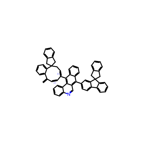 C=C1/C=C\C(c2c3ccccc3c(-c3ccc4c(c3)C3(Cc5ccccc5C3)c3ccccc3-4)c3cnc4ccccc4c23)=C/CC2(Cc3ccccc3C2)c2ccccc21